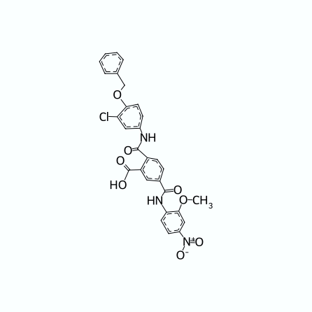 COc1cc([N+](=O)[O-])ccc1NC(=O)c1ccc(C(=O)Nc2ccc(OCc3ccccc3)c(Cl)c2)c(C(=O)O)c1